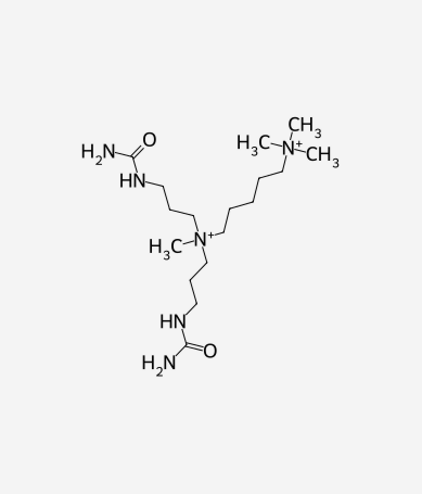 C[N+](C)(C)CCCCC[N+](C)(CCCNC(N)=O)CCCNC(N)=O